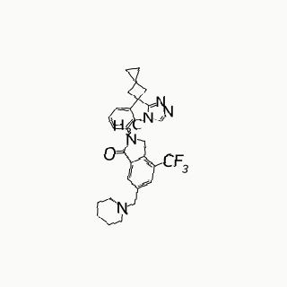 Cn1cnnc1C1(c2cccc(N3Cc4c(cc(CN5CCCCC5)cc4C(F)(F)F)C3=O)c2)CC2(CC2)C1